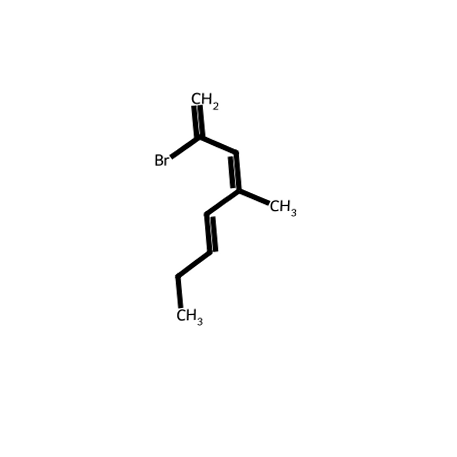 C=C(Br)/C=C(C)\C=C\CC